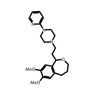 COc1cc2c(cc1OC)C(CCN1CCN(c3ccccn3)CC1)OCCC2